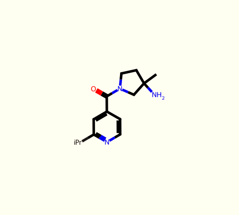 CC(C)c1cc(C(=O)N2CCC(C)(N)C2)ccn1